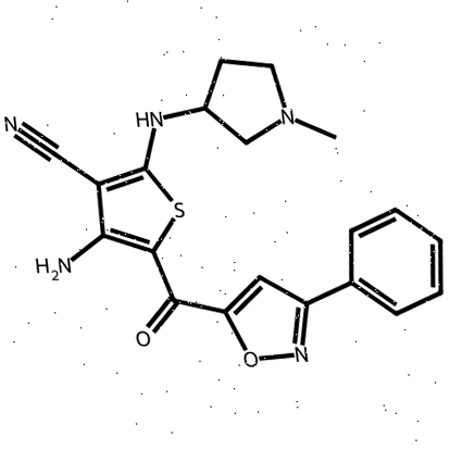 CN1CCC(Nc2sc(C(=O)c3cc(-c4ccccc4)no3)c(N)c2C#N)C1